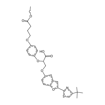 CCOC(=O)CCCOc1ccc(OC(COc2ccc3oc(-c4nc(C(C)(C)C)cs4)cc3c2)C(=O)O)cc1